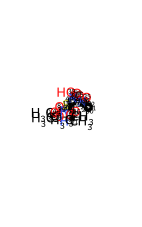 CC(C)(C)OC(=O)C(=O)Nc1sc2c(c1C(=O)OC(C)(C)C)CC(C(=O)N1Cc3ccccc3C1=O)N(C(=O)O)C2